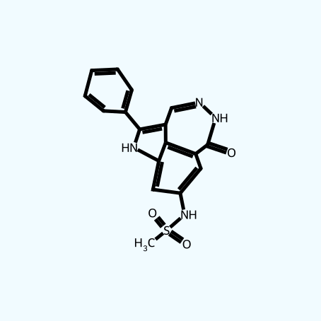 CS(=O)(=O)Nc1cc2c3c(c(-c4ccccc4)[nH]c3c1)C=NNC2=O